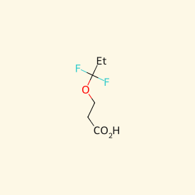 CCC(F)(F)OCCC(=O)O